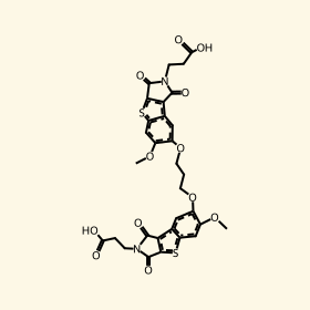 COc1cc2sc3c(c2cc1OCCCOc1cc2c4c(sc2cc1OC)C(=O)N(CCC(=O)O)C4=O)C(=O)N(CCC(=O)O)C3=O